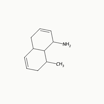 CC1CC=CC2CC=CC(N)C12